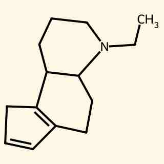 CCN1CCCC2C3=C(C=CC3)CCC21